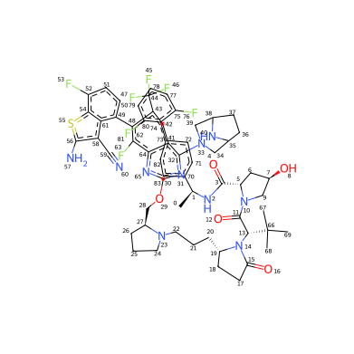 C[C@H](NC(=O)[C@@H]1C[C@@H](O)CN1C(=O)[C@@H](N1C(=O)CC[C@@H]1CCCN1CCC[C@H]1COc1nc(N2CC3CCC(C2)N3)c2cc(C(F)(F)F)c(-c3ccc(F)c4sc(N)c(C#N)c34)c(F)c2n1)C(C)(C)C)c1ccc(-c2c(F)cccc2F)cc1